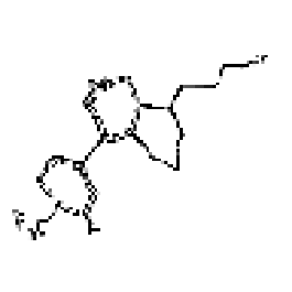 CC(=O)CCCC1CCCc2c(-c3ccc(C(F)(F)F)c(F)c3)cncc21